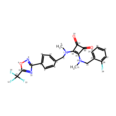 CN(Cc1ccc(-c2noc(C(F)(F)F)n2)cc1)c1c(N(C)Cc2ccccc2F)c(=O)c1=O